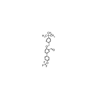 CC(C)(C)c1ccc(COc2ccc(-c3ccc(OC(F)(F)F)cc3)cc2C=O)cc1